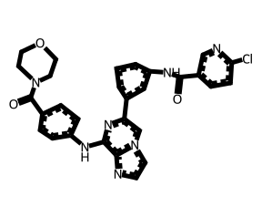 O=C(Nc1cccc(-c2cn3ccnc3c(Nc3ccc(C(=O)N4CCOCC4)cc3)n2)c1)c1ccc(Cl)nc1